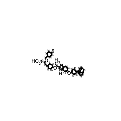 CC(Oc1ccc(CC(OCc2ccc(F)cc2)C(=O)O)cc1)c1nc2ccc(Oc3ccc(C45CC6CC(CC(C6)C4)C5)cc3)cc2[nH]1